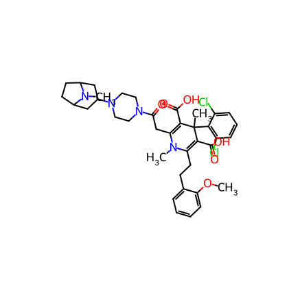 COc1ccccc1CCC1=C(C(=O)O)C(C)(c2c(Cl)cccc2Cl)C(C(=O)O)=C(CC(=O)N2CCN(C3CC4CCC(C3)N4C)CC2)N1C